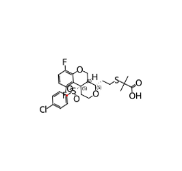 CC(C)(SCC[C@@H]1OCC[C@@]2(S(=O)(=O)c3ccc(Cl)cc3)c3c(F)ccc(F)c3OC[C@@H]12)C(=O)O